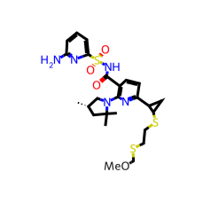 COCSCCSC1CC1c1ccc(C(=O)NS(=O)(=O)c2cccc(N)n2)c(N2C[C@@H](C)CC2(C)C)n1